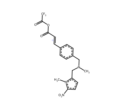 CN(Cc1ccc(/C=C/C(=O)OC(=O)C(F)(F)F)cc1)Cc1ccc([N+](=O)[O-])n1C